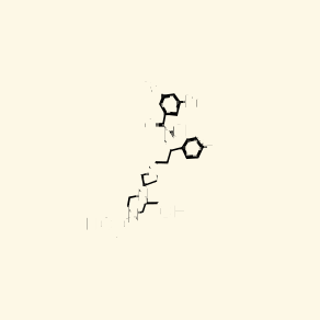 CN(C[C@@H](CCN1CC(N2CCN(C(=O)O)CC2CO)C1)c1ccc(F)cc1)C(=O)c1cc(Br)cc(Br)c1